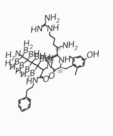 BC(B)(N)C(B)(B)C(B)(B)C(B)(B)C(NC(=O)[C@H](Cc1c(C)cc(O)cc1C)NC(=O)[C@H](N)CCCNC(=N)N)C(=O)NCCc1ccccc1